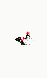 COC(=O)c1ccc2c(c1)N(C[C@@H]1CC[C@H]1[C@@H](OC)[C@H]1CCC[C@@H](OS(C)(=O)=O)C1)C[C@@]1(CCCc3cc(Cl)ccc31)CO2